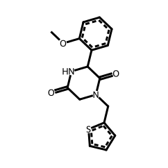 COc1ccccc1C1NC(=O)CN(Cc2cccs2)C1=O